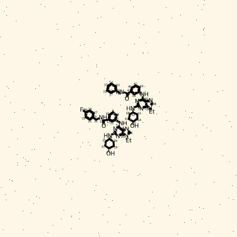 CCn1cnc2c(Nc3cccc(C(=O)NCc4ccc(F)cc4)c3)nc(N[C@H]3CC[C@H](O)CC3)nc21.CCn1cnc2c(Nc3cccc(C(=O)NCc4ccccc4)c3)nc(N[C@H]3CC[C@H](O)CC3)nc21